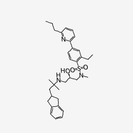 CCCc1cccc(-c2ccc(S(=O)(=O)N(C)C[C@H](O)CNC(C)(C)CC3Cc4ccccc4C3)c(CC)c2)n1